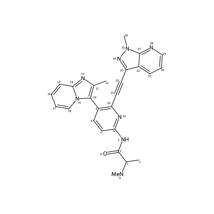 CNC(C)C(=O)Nc1ccc(-c2c(C)nc3ccccn23)c(C#Cc2nn(C)c3ncccc23)n1